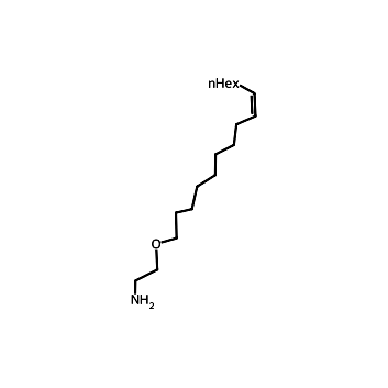 CCCCCC/C=C\CCCCCCCCOCCN